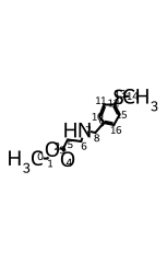 CCOC(=O)CCNCc1ccc(SC)cc1